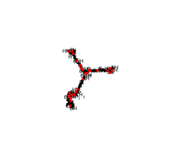 CCc1c2c(nc3ccc(O)cc13)-c1cc3c(c(=O)n1C2)COC(=O)[C@@]3(C)OC(=O)[C@H](C)NC(=O)NCCOCCOCCNC(=O)Nc1cc(C(=O)NCCOCCNC(=O)CCCC[C@@H]2SC[C@@H]3NC(=N)N[C@@H]32)cc(C(=O)NCCOCCNC(=O)CCCC[C@@H]2SC[C@@H]3NC(=N)N[C@@H]32)c1